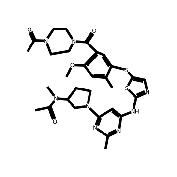 COc1cc(C)c(Sc2cnc(Nc3cc(N4CCC(N(C)C(C)=O)C4)nc(C)n3)s2)cc1C(=O)N1CCN(C(C)=O)CC1